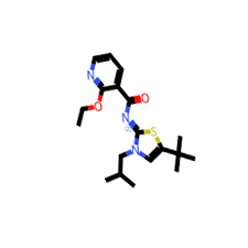 CCOc1ncccc1C(=O)/N=c1\sc(C(C)(C)C)cn1CC(C)C